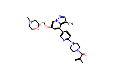 C=C(C)C(=O)N1CCN(c2ccc(-c3cc(OC[C@H]4CN(C)CCO4)cn4ncc(C#N)c34)cn2)CC1